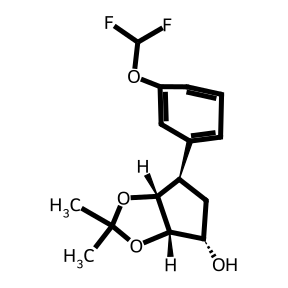 CC1(C)O[C@@H]2[C@H](O1)[C@@H](c1cccc(OC(F)F)c1)C[C@@H]2O